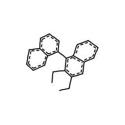 CCc1cc2ccccc2c(-c2cccc3ccccc23)c1CC